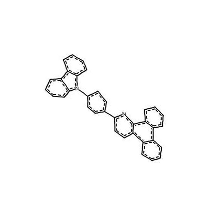 c1ccc2c(c1)c1ccccc1c1nc(-c3ccc(-n4c5ccccc5c5ccccc54)cc3)ccc21